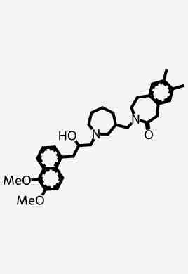 COc1ccc2c(CC(O)CN3CCCCC(CN4CCc5cc(C)c(C)cc5CC4=O)C3)cccc2c1OC